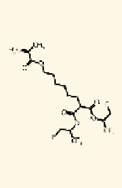 C=C(C)C(=O)OCCCCCCC(C(=O)OC(CF)C(F)(F)F)C(=O)OC(CF)C(F)(F)F